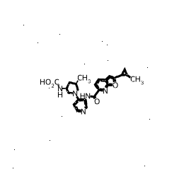 CC1CC1c1cc2ccc(C(=O)Nc3cnccc3N3C[C@H](C)C[C@H](NC(=O)O)C3)nc2o1